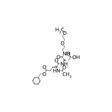 COCCOCCNC(=O)[C@H](CC(=O)O)NC(=O)[C@H](CCC(=O)OCc1ccccc1)NC(C)=O